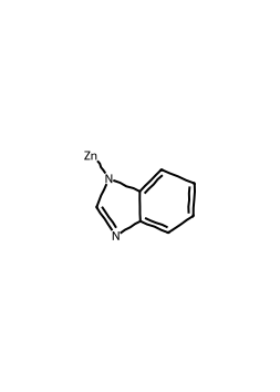 [Zn][n]1cnc2ccccc21